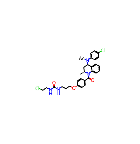 CC(=O)N(c1ccc(Cl)cc1)[C@@H]1C[C@H](C)N(C(=O)c2ccc(OCCCNC(=O)NCCCl)cc2)c2ccccc21